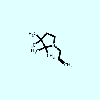 C=CCB1CCC(C)(C)C1(C)C